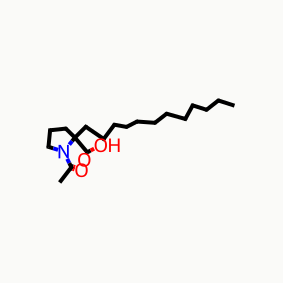 CCCCCCCCCCCCC1(C(=O)O)CCCN1C(C)=O